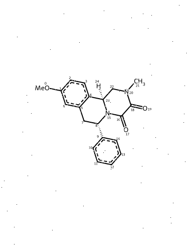 COc1ccc2c(c1)C[C@@H](c1ccccc1)N1C(=O)C(=O)N(C)C[C@H]21